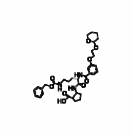 O=C(NCCC[C@H](NC(=O)c1cccc(OCCOC2CCCCO2)c1)C(=O)N[C@H]1CCC[C@H]1C(=O)O)OCc1ccccc1